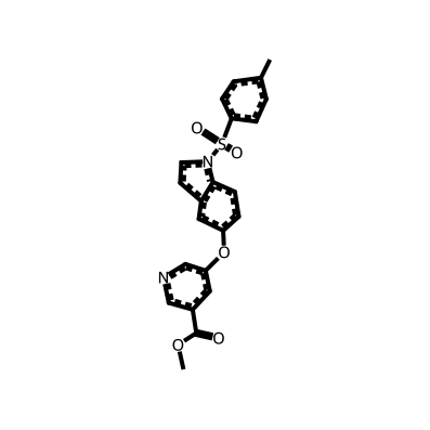 COC(=O)c1cncc(Oc2ccc3c(ccn3S(=O)(=O)c3ccc(C)cc3)c2)c1